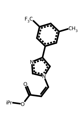 Cc1cc(-c2cn(/C=C\C(=O)OC(C)C)cn2)cc(C(F)(F)F)c1